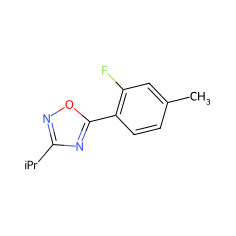 Cc1ccc(-c2nc(C(C)C)no2)c(F)c1